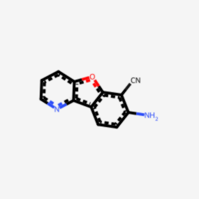 N#Cc1c(N)ccc2c1oc1cccnc12